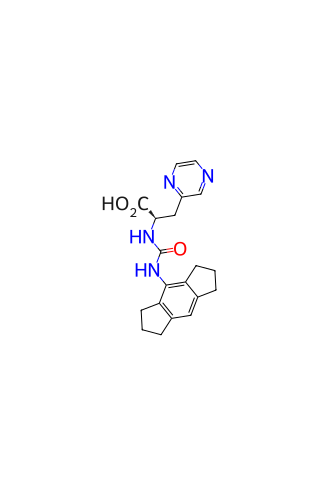 O=C(Nc1c2c(cc3c1CCC3)CCC2)N[C@H](Cc1cnccn1)C(=O)O